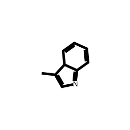 CC1=CN=C2C=CC=CC12